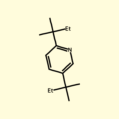 CCC(C)(C)c1ccc(C(C)(C)CC)nc1